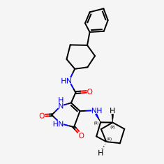 O=C(NC1CCC(c2ccccc2)CC1)c1[nH]c(=O)[nH]c(=O)c1N[C@@H]1C[C@@H]2CC[C@@H]1C2